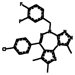 Cc1sc2c(c1C)C(c1ccc(Cl)cc1)=NN(Cc1ccc(F)c(F)c1)c1nnc(C)n1-2